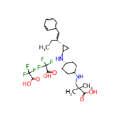 CC/C(=C\c1ccccc1)[C@@H]1C[C@H]1N[C@H]1CC[C@@H](NCC(C)(C)C(=O)O)CC1.O=C(O)C(F)(F)F.O=C(O)C(F)(F)F